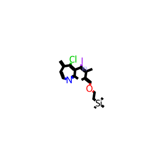 C=C1C=CN=C(C)C(/C(I)=C(/C)C(C)=COCC[Si](C)(C)C)=C1Cl